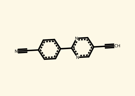 C#Cc1cnc(-c2ccc(C#N)cc2)nc1